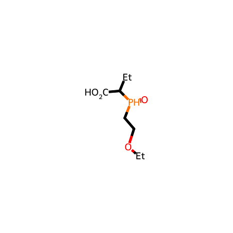 CCOCC[PH](=O)C(CC)C(=O)O